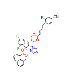 [CH2]c1cccc2cccc(C(=O)O[C@@](Cn3cncn3)(c3ccc(F)cc3F)[C@@H](C)S[C@H]3CO[C@H](/C=C/C=C/c4ccc(C#N)cc4F)OC3)c12